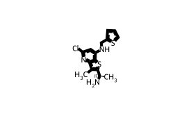 Cc1c([C@H](C)N)sc2c(NCc3cccs3)cc(Cl)nc12